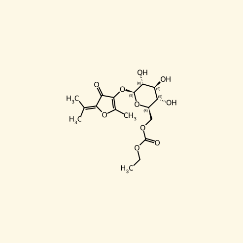 CCOC(=O)OC[C@H]1O[C@@H](OC2=C(C)OC(=C(C)C)C2=O)[C@H](O)[C@@H](O)[C@@H]1O